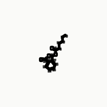 CCCCCC(=O)OC1OC(=O)c2ccccc21